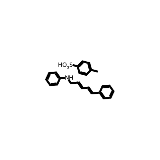 C(C=Cc1ccccc1)=CCNc1ccccc1.Cc1ccc(S(=O)(=O)O)cc1